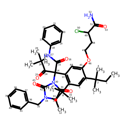 CCC(C)(C)c1cc(C(C)(C)CC)c(C(C(=O)Nc2ccccc2)(C(=O)C(C)(C)C)N2C(=O)CN(Cc3ccccc3)C2=O)cc1OCCC(Cl)C(N)=O